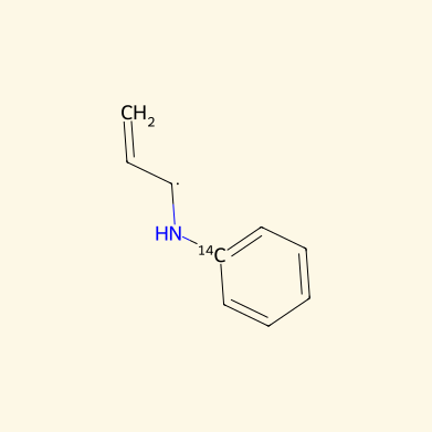 C=C[CH]N[14c]1ccccc1